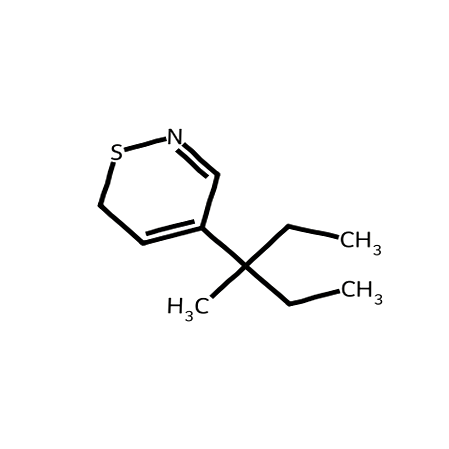 CCC(C)(CC)C1=CCSN=C1